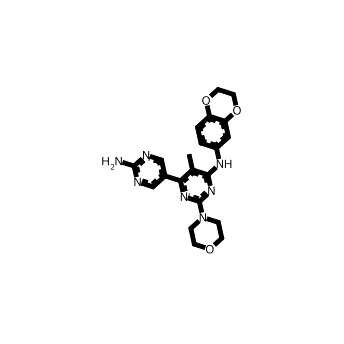 Cc1c(Nc2ccc3c(c2)OCCO3)nc(N2CCOCC2)nc1-c1cnc(N)nc1